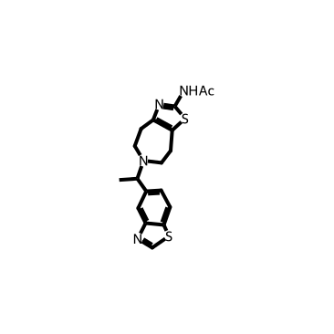 CC(=O)Nc1nc2c(s1)CCN(C(C)c1ccc3scnc3c1)CC2